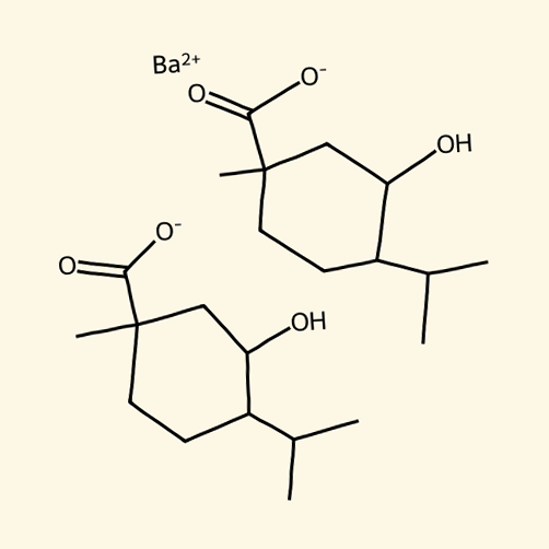 CC(C)C1CCC(C)(C(=O)[O-])CC1O.CC(C)C1CCC(C)(C(=O)[O-])CC1O.[Ba+2]